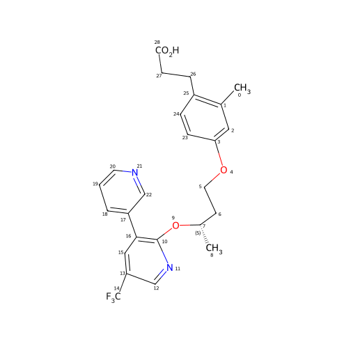 Cc1cc(OCC[C@H](C)Oc2ncc(C(F)(F)F)cc2-c2cccnc2)ccc1CCC(=O)O